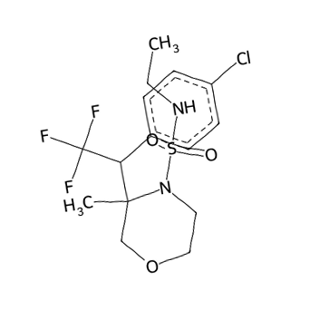 CCNS(=O)(=O)N1CCOCC1(C)C(c1ccc(Cl)cc1)C(F)(F)F